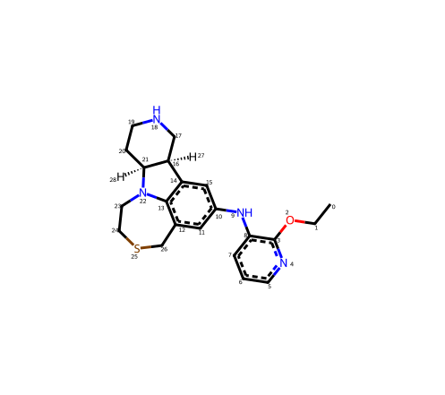 CCOc1ncccc1Nc1cc2c3c(c1)[C@@H]1CNCC[C@@H]1N3CCSC2